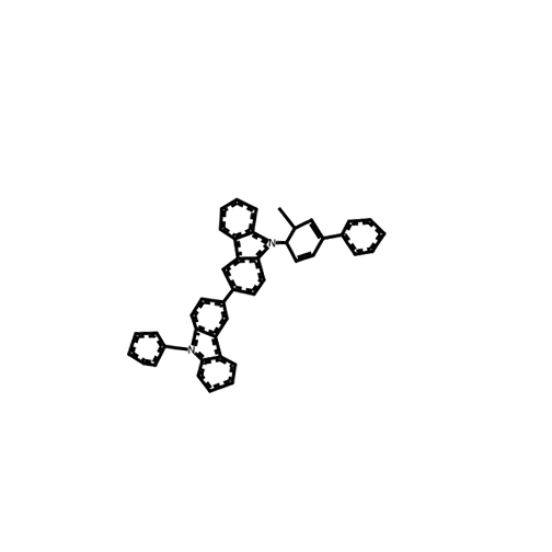 CC1C=C(c2ccccc2)C=CC1n1c2ccccc2c2cc(-c3ccc4c(c3)c3ccccc3n4-c3ccccc3)ccc21